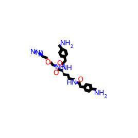 [N-]=[N+]=NCCOCCNC(=O)[C@H](CCCCNC(=O)Cc1ccc(CN)cc1)NC(=O)Cc1ccc(CN)cc1